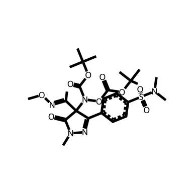 CON=C(C)C1(N(OC(=O)OC(C)(C)C)C(=O)OC(C)(C)C)C(=O)N(C)N=C1c1ccc(S(=O)(=O)N(C)C)cc1